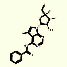 O=C(Nc1ncnc2c1c(F)cn2[C@@H]1O[C@](F)(CI)[C@@H](F)[C@H]1O)c1ccccc1